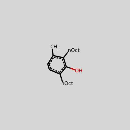 CCCCCCCCc1ccc(C)c(CCCCCCCC)c1O